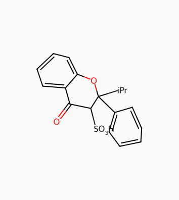 CC(C)C1(c2ccccc2)Oc2ccccc2C(=O)C1S(=O)(=O)O